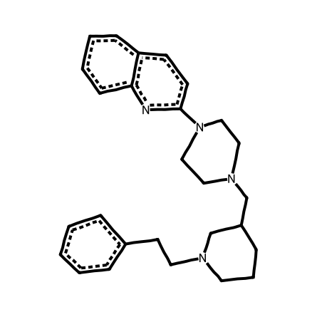 c1ccc(CCN2CCCC(CN3CCN(c4ccc5ccccc5n4)CC3)C2)cc1